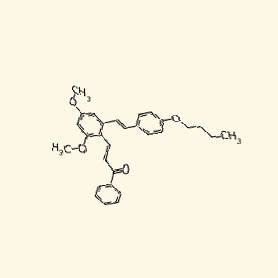 CCCCOc1ccc(/C=C/c2cc(OC)cc(OC)c2/C=C/C(=O)c2ccccc2)cc1